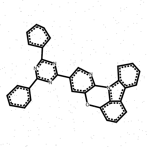 c1ccc(-c2nc(-c3ccccc3)nc(-c3cnc4c(c3)Oc3cccc5c6ccccc6n-4c35)n2)cc1